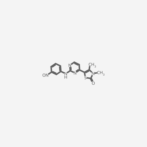 Cc1c(-c2ccnc(Nc3cccc(N=O)c3)n2)sc(=O)n1C